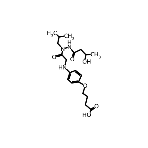 CC(C)CN(NC(=O)CC(C)O)C(=O)CNc1ccc(OCCCC(=O)O)cc1